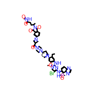 CCc1cc(Nc2ncc(Br)c(Nc3ccc4nccnc4c3P(C)(C)=O)n2)c(OC)cc1N1CCC(N2CCN(C(=O)C3CN(c4ccc5c(c4)C(=O)N(C(C)CCC(=O)NC=O)C5=O)C3)CC2)CC1